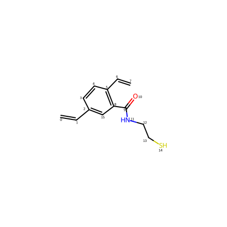 C=Cc1ccc(C=C)c(C(=O)NCCS)c1